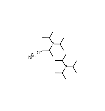 CC(C)P(C(C)C)C(C)C.CC(C)P(C(C)C)C(C)C.[Cl-].[Cl-].[Ni+2]